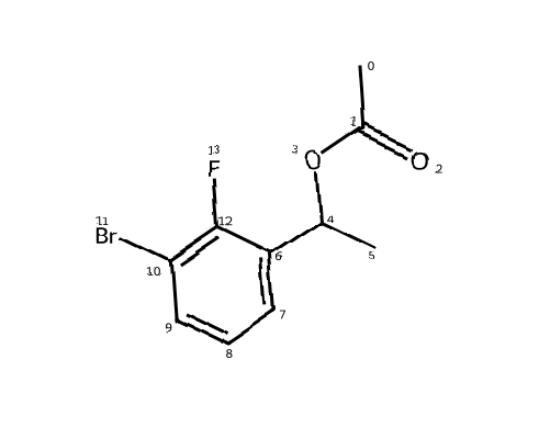 CC(=O)OC(C)c1cccc(Br)c1F